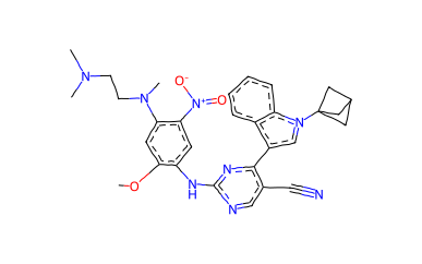 COc1cc(N(C)CCN(C)C)c([N+](=O)[O-])cc1Nc1ncc(C#N)c(-c2cn(C34CC(C3)C4)c3ccccc23)n1